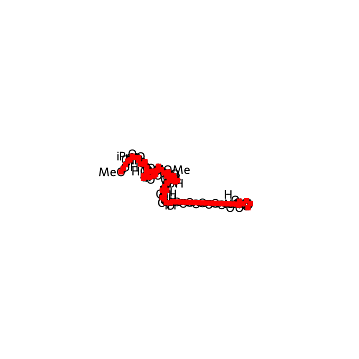 COCCOCCC(=O)N[C@H](C(=O)N[C@@H](C)C(=O)Nc1ccc(COC(=O)N2c3cc(OCCCCCOc4cc5c(cc4OC)C(=O)N4C=C(C)C[C@H]4[C@H](O)N5C(=O)OCc4ccc(NC(=O)[C@H](C)NC(=O)[C@@H](NC(=O)CCOCCOCCOCCOCCOCCOCCOCCOCCNC(=O)CCN5C(=O)CC(C6CCCCCCCC6)C5=O)C(C)C)cc4)c(OC)cc3C(=O)N3C=C(C)C[C@H]3[C@@H]2O)cc1)C(C)C